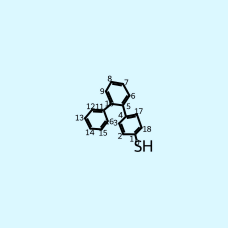 Sc1ccc(-c2ccccc2-c2ccccc2)cc1